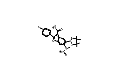 CNC(=O)c1c(-c2ccc(F)cc2)oc2cc(N(C)[SH](=O)=O)c(B3OC(C)(C)C(C)(C)O3)cc12